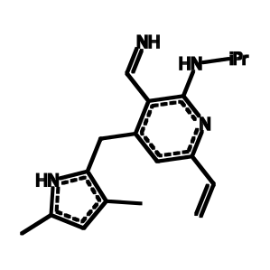 C=Cc1cc(Cc2[nH]c(C)cc2C)c(C=N)c(NC(C)C)n1